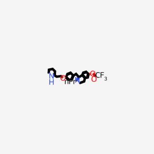 CCCN1CCc2cc(OC(=O)C(F)(F)F)ccc2C1Cc1ccc(OCCC2CCCCN2)cc1